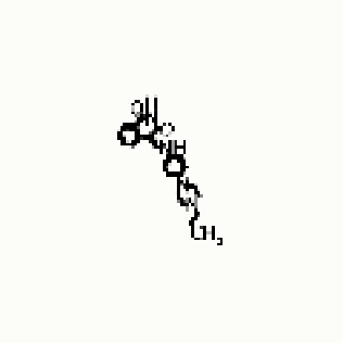 C=CCN1CCN(c2ccc(N/C=C3\C(=O)NC(=O)c4ccccc43)cc2)CC1